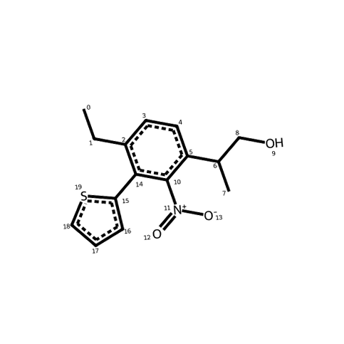 CCc1ccc(C(C)CO)c([N+](=O)[O-])c1-c1cccs1